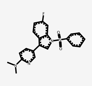 CN(C)c1ccc(-c2cn(S(=O)(=O)c3ccccc3)c3cc(F)ccc23)cn1